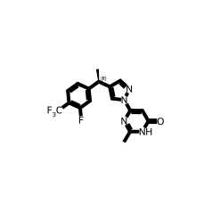 Cc1nc(-n2cc([C@H](C)c3ccc(C(F)(F)F)c(F)c3)cn2)cc(=O)[nH]1